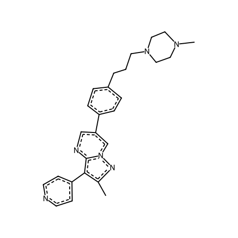 Cc1nn2cc(-c3ccc(CCCN4CCN(C)CC4)cc3)cnc2c1-c1ccncc1